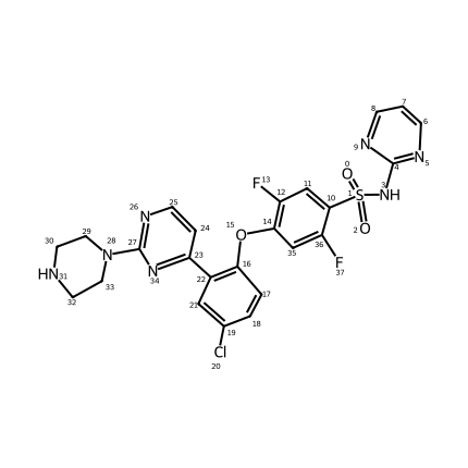 O=S(=O)(Nc1ncccn1)c1cc(F)c(Oc2ccc(Cl)cc2-c2ccnc(N3CCNCC3)n2)cc1F